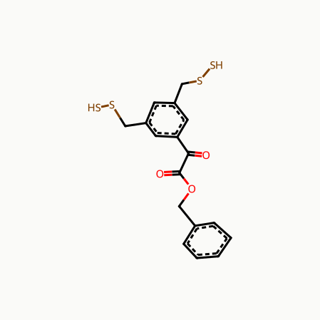 O=C(OCc1ccccc1)C(=O)c1cc(CSS)cc(CSS)c1